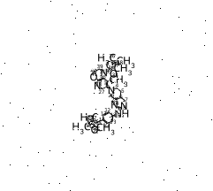 Cc1c(N2CCc3cnc(Nc4ccc(C(C)(C)S(C)(=O)=O)cc4)nc3C2)cnc2c1N(C(=O)OC(C)(C)C)CCO2